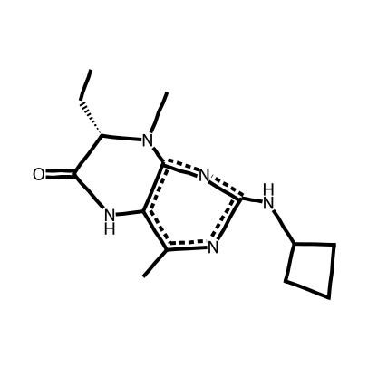 CC[C@H]1C(=O)Nc2c(C)nc(NC3CCC3)nc2N1C